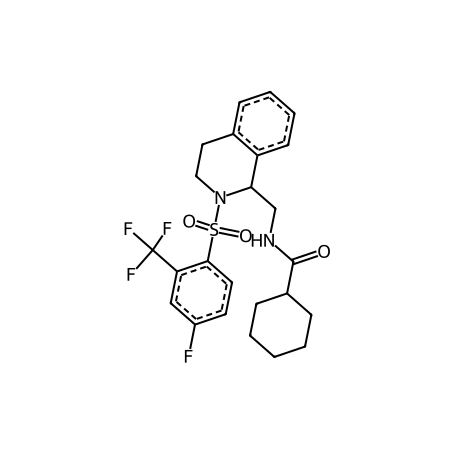 O=C(NCC1c2ccccc2CCN1S(=O)(=O)c1ccc(F)cc1C(F)(F)F)C1CCCCC1